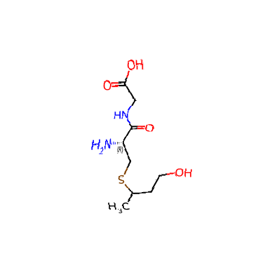 CC(CCO)SC[C@H](N)C(=O)NCC(=O)O